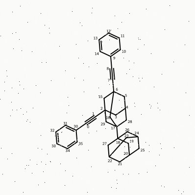 C(#CC12CC3CC(C#Cc4ccccc4)(C1)CC(C14CC5CC(CC(C5)C1)C4)(C3)C2)c1ccccc1